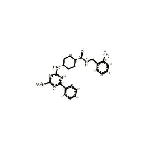 CNc1nc(N[C@H]2CC[C@H](C(=O)NCc3ccccc3C(F)(F)F)CC2)nc(-c2ccccc2)n1